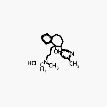 Cc1ccc([C@@H]2CCCc3ccccc3[C@@]2(O)CCCN(C)C)cn1.Cl